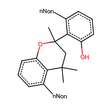 CCCCCCCCCc1cccc2c1C(C)(C)CC(C)(c1c(O)cccc1CCCCCCCCC)O2